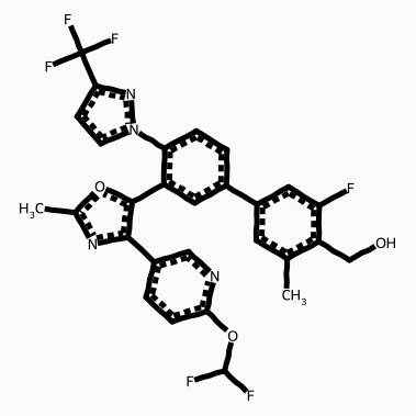 Cc1nc(-c2ccc(OC(F)F)nc2)c(-c2cc(-c3cc(C)c(CO)c(F)c3)ccc2-n2ccc(C(F)(F)F)n2)o1